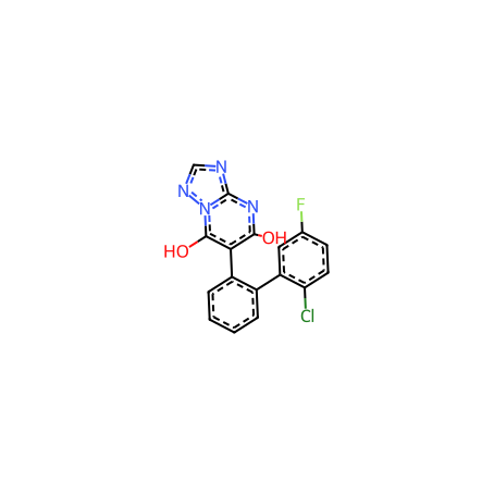 Oc1nc2ncnn2c(O)c1-c1ccccc1-c1cc(F)ccc1Cl